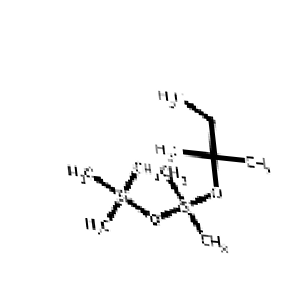 CCC(C)(C)O[Si](C)(C)O[Si](C)(C)C